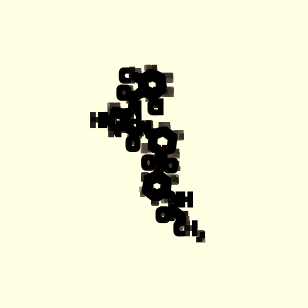 C=CC(=O)Nc1cccc(S(=O)(=O)N2CCC/C(=N/C(=O)c3n[nH]cc3NC(=O)c3c(Cl)cccc3Cl)C2)c1